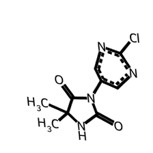 CC1(C)NC(=O)N(c2cnc(Cl)nc2)C1=O